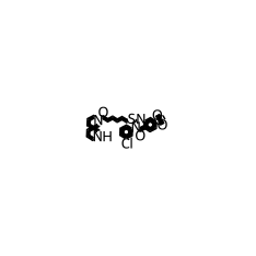 CS(=O)(=O)c1ccc2c(=O)n(-c3cccc(Cl)c3)c(SCCCCCC(=O)N3CCCC4(CCCNC4)C3)nc2c1